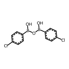 OB(OB(O)c1ccc(Cl)cc1)c1ccc(Cl)cc1